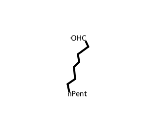 CCCCCCCCCCC[C]=O